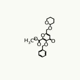 COC(=O)c1oc(COC2CCCCO2)cc(=O)c1OCc1ccccc1